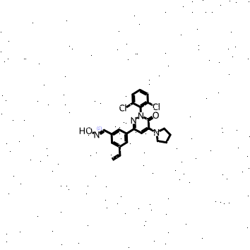 C=Cc1cc(/C=N/O)cc(-c2cc(N3CCCC3)c(=O)n(-c3c(Cl)cccc3Cl)n2)c1